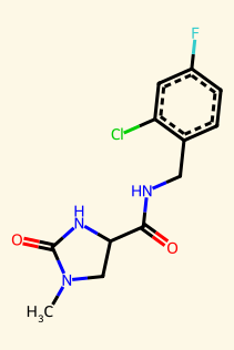 CN1CC(C(=O)NCc2ccc(F)cc2Cl)NC1=O